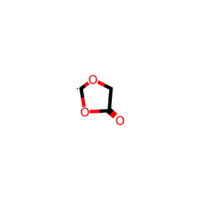 O=C1CO[CH]O1